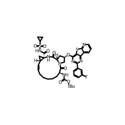 CC(C)(C)OC(=O)N[C@H]1CCCCC/C=C\[C@@H]2C[C@@]2(C(=O)NS(=O)(=O)C2CC2)NC(=O)[C@@H]2C[C@@H](Oc3nc(-c4cccc(F)c4)nc4c3sc3ncccc34)CN2C1=O